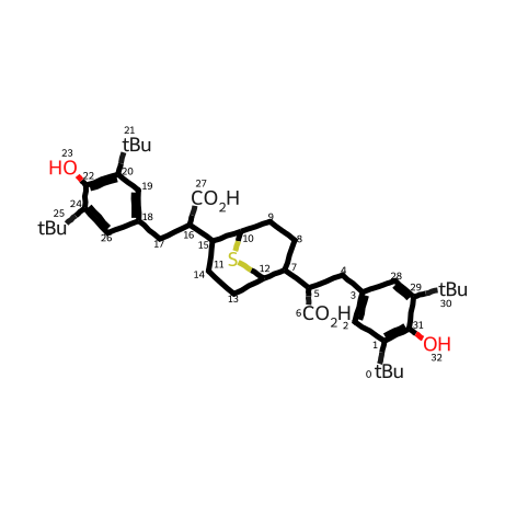 CC(C)(C)c1cc(CC(C(=O)O)C2CCC3SC2CCC3C(Cc2cc(C(C)(C)C)c(O)c(C(C)(C)C)c2)C(=O)O)cc(C(C)(C)C)c1O